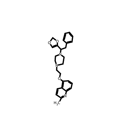 Cc1ccc2c(OCCN3CCN(C(Cc4ccccc4)C4=COCO4)CC3)cccc2n1